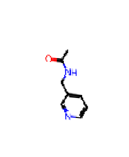 CC(=O)NCc1cccnc1